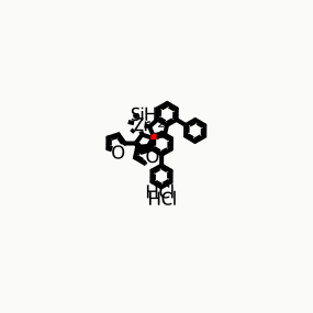 Cl.Cl.[CH3][Zr]([CH3])(=[SiH2])([CH]1C(c2ccco2)=Cc2c(-c3ccccc3)cccc21)[CH]1C(c2ccco2)=Cc2c(-c3ccccc3)cccc21